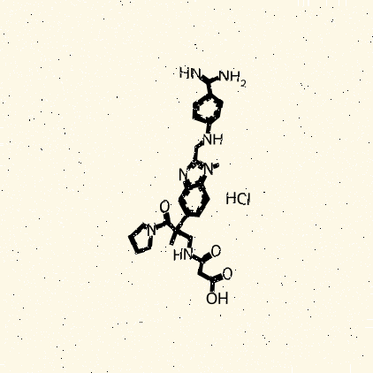 Cl.Cn1c(CNc2ccc(C(=N)N)cc2)nc2cc(C(C)(CNC(=O)CC(=O)O)C(=O)N3CCCC3)ccc21